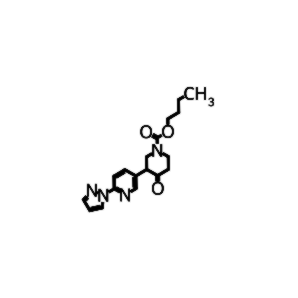 CCCCOC(=O)N1CCC(=O)C(c2ccc(-n3cccn3)nc2)C1